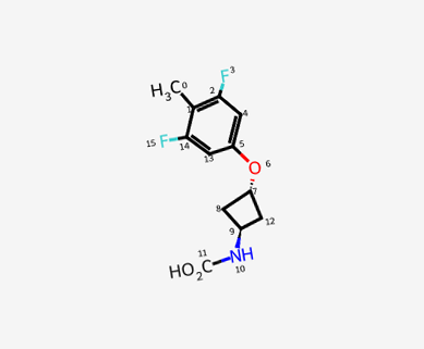 Cc1c(F)cc(O[C@H]2C[C@H](NC(=O)O)C2)cc1F